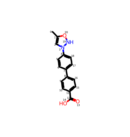 CC1=CN(c2ccc(-c3ccc(C(=O)O)cc3)cc2)NO1